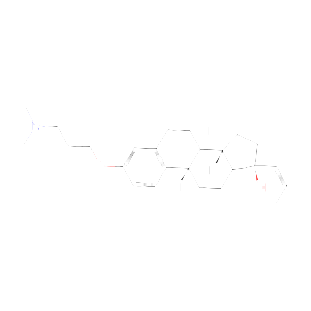 C/C=C\[C@@]1(O)CC[C@H]2[C@@H]3CCc4cc(OCCCN(C)C)ccc4[C@H]3CC[C@@]21C